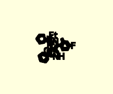 CCN(c1nc(-c2ccc(F)cc2C)c2c(n1)[N+]([O-])(c1ccccc1)CNC2)N1CCCCC1